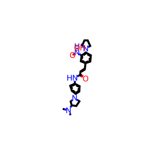 CN(C)C1CCN(c2ccc(NC(=O)/C=C/c3ccc(N4CCCC4)c([NH+]([O-])O)c3)cc2)C1